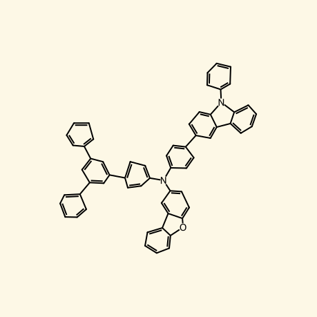 c1ccc(-c2cc(-c3ccccc3)cc(-c3ccc(N(c4ccc(-c5ccc6c(c5)c5ccccc5n6-c5ccccc5)cc4)c4ccc5oc6ccccc6c5c4)cc3)c2)cc1